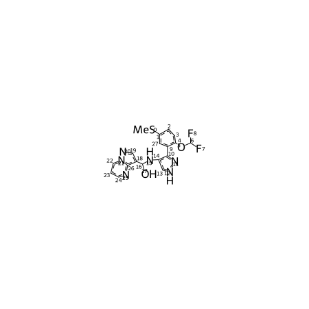 CSc1ccc(OC(F)F)c(-c2n[nH]cc2NC(O)c2cnn3cccnc23)c1